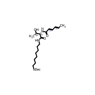 C/C=C/C=C/C(=O)N[C@H](C(=O)NCCCCCCCCCCCCCCCCCC)[C@@H](C)O